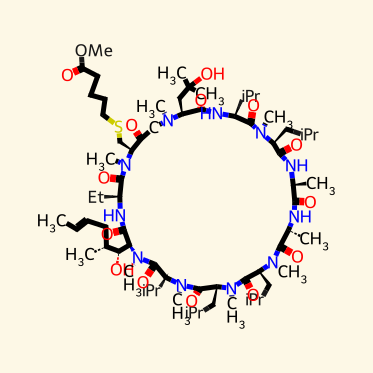 C/C=C/C[C@@H](C)[C@@H](O)[C@H]1C(=O)N[C@@H](CC)C(=O)N(C)[C@@H](CSCCCCC(=O)OC)C(=O)CN(C)[C@@H](CC(C)(C)O)C(=O)N[C@@H](C(C)C)C(=O)N(C)[C@@H](CC(C)C)C(=O)N[C@@H](C)C(=O)N[C@H](C)C(=O)N(C)[C@@H](CC(C)C)C(=O)N(C)[C@@H](CC(C)C)C(=O)N(C)[C@@H](C(C)C)C(=O)N1C